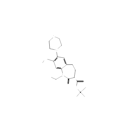 CCN1C(=O)[C@H](C(=O)OC(C)(C)C)CCc2cc(N3CCNCC3)c(OC)cc21